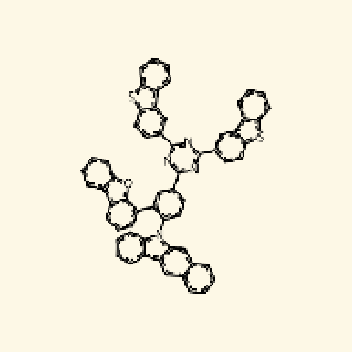 c1ccc2cc3c(cc2c1)c1ccccc1n3-c1ccc(-c2nc(-c3ccc4sc5ccccc5c4c3)nc(-c3ccc4sc5ccccc5c4c3)n2)cc1-c1cccc2c1oc1ccccc12